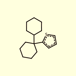 c1csc(C2(C3CCCCC3)CCCCC2)c1